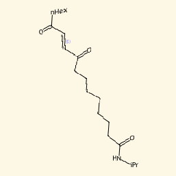 CCCCCCC(=O)/C=C/C(=O)CCCCCCCC(=O)NC(C)C